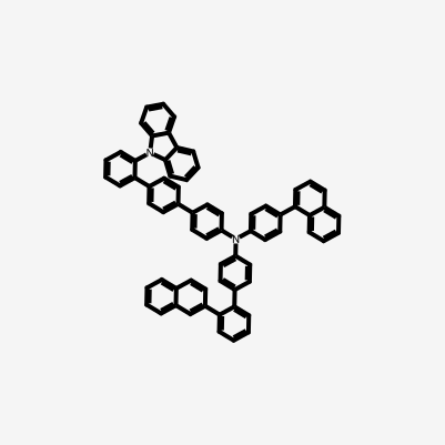 c1ccc(-c2ccc3ccccc3c2)c(-c2ccc(N(c3ccc(-c4ccc(-c5ccccc5-n5c6ccccc6c6ccccc65)cc4)cc3)c3ccc(-c4cccc5ccccc45)cc3)cc2)c1